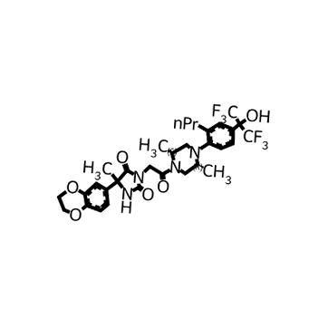 CCCc1cc(C(O)(C(F)(F)F)C(F)(F)F)ccc1N1C[C@H](C)N(C(=O)CN2C(=O)NC(C)(c3ccc4c(c3)OCCO4)C2=O)C[C@H]1C